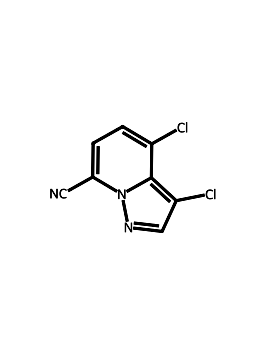 N#Cc1ccc(Cl)c2c(Cl)cnn12